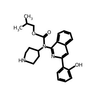 CC(C)COC(=O)N(c1nc(-c2ccccc2O)cc2ccccc12)C1CCNCC1